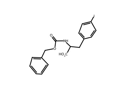 O=C(NC(Cc1ccc(I)cc1)C(=O)O)OCc1ccccc1